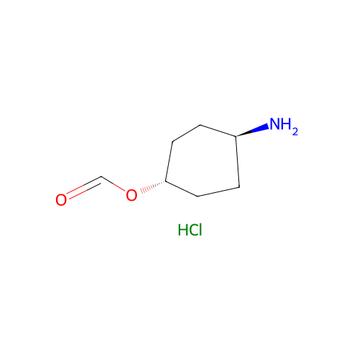 Cl.N[C@H]1CC[C@H](OC=O)CC1